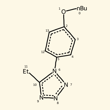 CCCCOc1ccc(-n2nnnc2CC)cc1